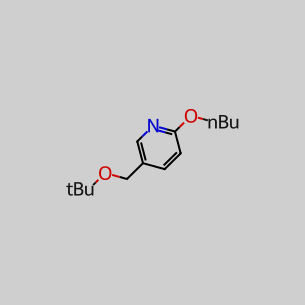 CCCCOc1ccc(COC(C)(C)C)cn1